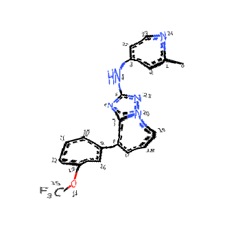 Cc1cc(Nc2nc3c(-c4cccc(OC(F)(F)F)c4)cccn3n2)ccn1